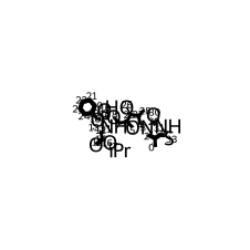 Cc1cn([C@H]2OC(COP(=O)(N[C@@H](C)C(=O)OC(C)C)Oc3ccccc3)[C@@H](O)C2C)c(=O)[nH]c1=S